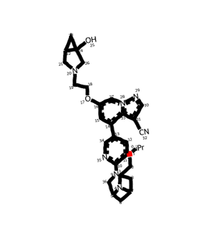 CC(C)OCCN1C2CC1CN(c1ccc(-c3cc(OCCN4CC5CC5(O)C4)cn4ncc(C#N)c34)cn1)C2